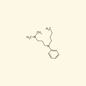 CCCCN(CCCN(C)C)c1ccccc1